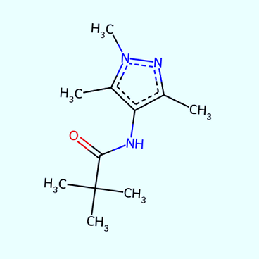 Cc1nn(C)c(C)c1NC(=O)C(C)(C)C